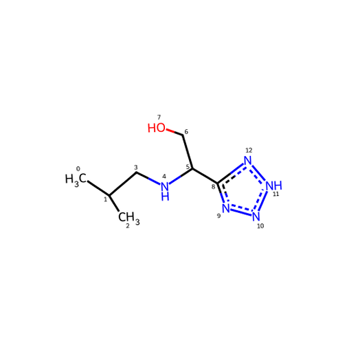 CC(C)CNC(CO)c1nn[nH]n1